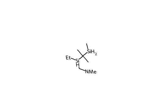 CC[SiH](CNC)C(C)(C)[SiH2]C